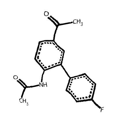 CC(=O)Nc1ccc(C(C)=O)cc1-c1ccc(F)cc1